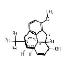 [2H]C([2H])([2H])N1CC[C@]23c4c5ccc(OC)c4OC2([2H])C(O)C=C[C@H]3[C@H]1C5